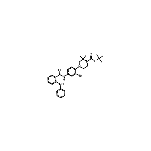 CC(C)(C)OC(=O)N1CCN(c2ccc(NC(=O)c3ccccc3Nc3ccccc3)cc2Br)CC1(C)C